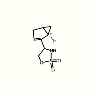 O=S1(=O)NC(C2=CCC3C[C@@H]23)CO1